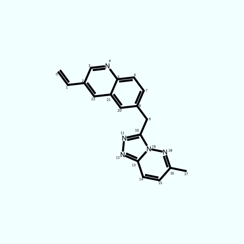 C=Cc1cnc2ccc(Cc3nnc4ccc(C)nn34)cc2c1